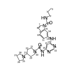 CCCNC(=O)n1ccc2ccc(Nc3cc(NC(=O)N4CCC(N5CCCC5)CC4)ncn3)cc21